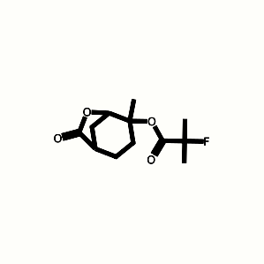 CC(C)(F)C(=O)OC1(C)CCC2CC1OC2=O